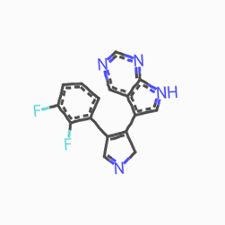 Fc1cccc(C2=C(c3c[nH]c4ncncc34)CN=C2)c1F